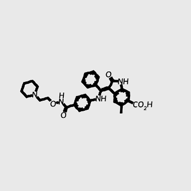 Cc1cc2c(cc1C(=O)O)NC(=O)C2=C(Nc1ccc(C(=O)NOCCN2CCCCC2)cc1)c1ccccc1